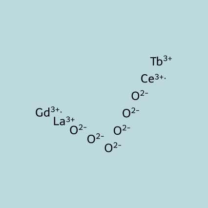 [Ce+3].[Gd+3].[La+3].[O-2].[O-2].[O-2].[O-2].[O-2].[O-2].[Tb+3]